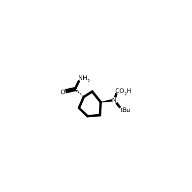 CC(C)(C)N(C(=O)O)[C@H]1CCC[C@H](C(N)=O)C1